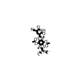 [C-]#[N+]C([N+]#[C-])=C1Sc2c(OC(C)=O)c3c(c(OC(C)=O)c2N1C)S/C(=C1\C=C(C#N)C(=O)NC1=O)N3C